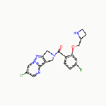 O=C(c1ccc(F)cc1OCC1CCN1)N1Cc2nn3cc(Cl)cnc3c2C1